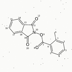 Cc1ccccc1C(=O)ON1C(=O)c2ccccc2C1=O